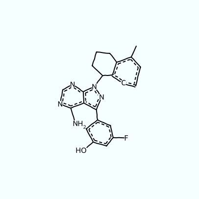 Cc1cccc2c1CCCC2n1nc(-c2cc(O)cc(F)c2)c2c(N)ncnc21